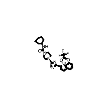 O=C(NC1CCCCC1)N1CCN(c2nc(-c3ccc4ccccc4[n+]3OC(=O)C(F)(F)F)ns2)CC1